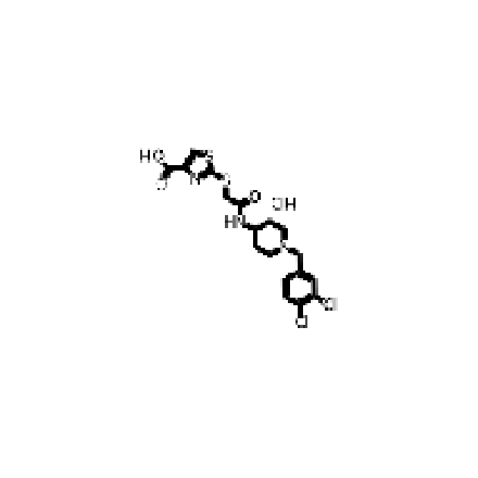 Cl.O=C(CSc1nc(C(=O)O)cs1)NC1CCN(Cc2ccc(Cl)c(Cl)c2)CC1